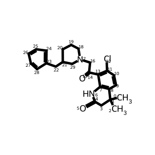 CC1(C)CC(=O)Nc2c1ccc(Cl)c2C(=O)CN1CCCC(Cc2ccccc2)C1